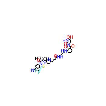 CC1(C)C(=O)N(c2ccc(C#N)c(C(F)(F)F)c2F)C(=S)N1c1ccc(CCCC(=O)NCCCCNc2cccc3c2C(=O)N(C2CCC(O)NC2=O)C3=O)nc1